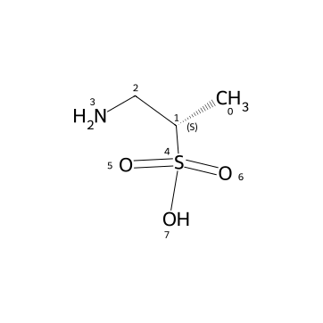 C[C@@H](CN)S(=O)(=O)O